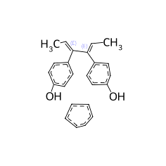 C/C=C(/C(=C/C)c1ccc(O)cc1)c1ccc(O)cc1.c1ccccc1